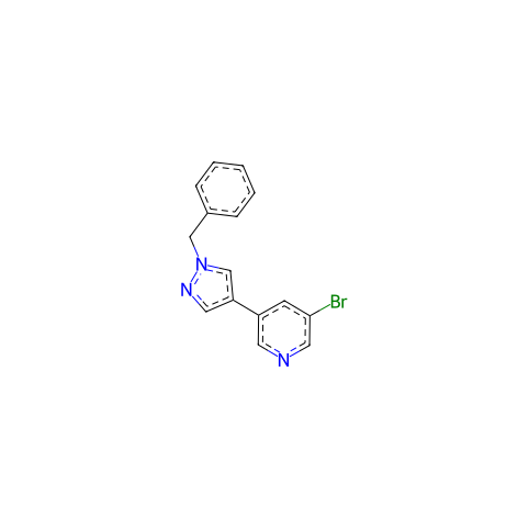 Brc1cncc(-c2cnn(Cc3ccccc3)c2)c1